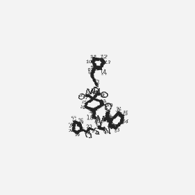 NC(=O)C1(C(=O)OCCc2ccccc2)CCC(Cn2c(SCC(=O)c3ccccc3)nc3ccccc3c2=O)CC1